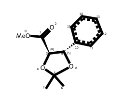 COC(=O)[C@@H]1OC(C)(C)O[C@H]1c1ccccc1